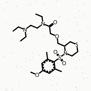 CCN(CC)CCN(CC)C(=O)COCC1CSCCN1S(=O)(=O)c1c(C)cc(OC)cc1C